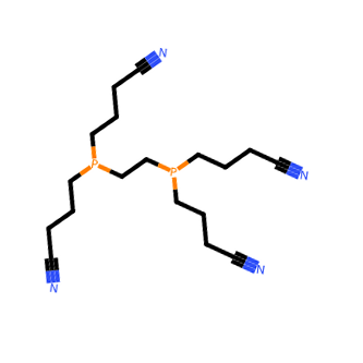 N#CCCCP(CCCC#N)CCP(CCCC#N)CCCC#N